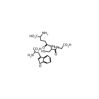 NC(CCC(=O)NC(CS)C(=O)NCC(=O)O)C(=O)O.NC(Cc1c[nH]c2ccccc12)C(=O)O